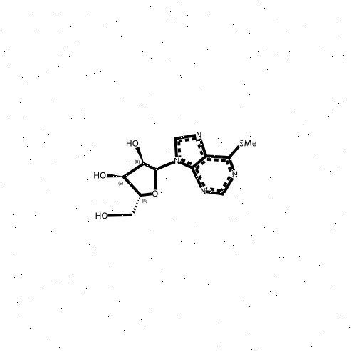 CSc1ncnc2c1ncn2C1O[C@H](CO)[C@@H](O)[C@H]1O